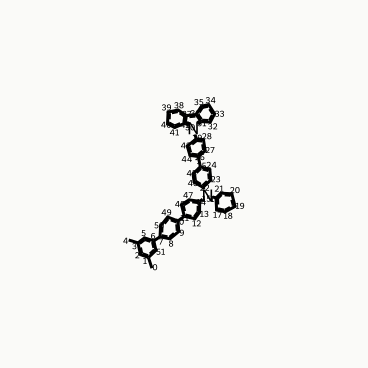 Cc1cc(C)cc(-c2ccc(-c3ccc(N(c4ccccc4)c4ccc(-c5ccc(-n6c7ccccc7c7ccccc76)cc5)cc4)cc3)cc2)c1